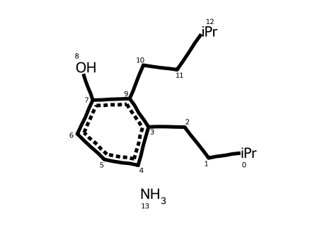 CC(C)CCc1cccc(O)c1CCC(C)C.N